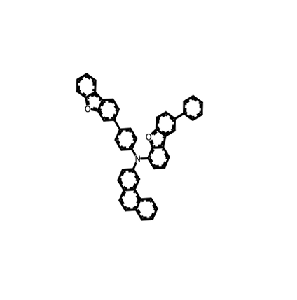 c1ccc(-c2ccc3oc4c(N(c5ccc(-c6ccc7c(c6)oc6ccccc67)cc5)c5ccc6ccc7ccccc7c6c5)cccc4c3c2)cc1